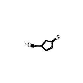 C#CC1C=CC(=S)C1